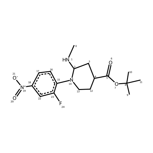 CNC1CC(C(=O)OC(C)(C)C)CCN1c1ccc([N+](=O)[O-])cc1F